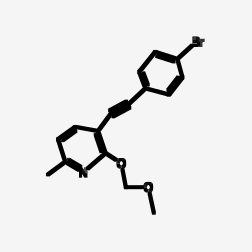 COCOc1nc(C)ccc1C#Cc1ccc(Br)cc1